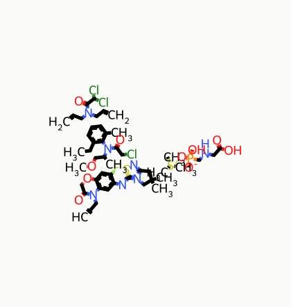 C#CCN1C(=O)COc2cc(F)c(/N=c3\snc4n3CC(C)(C)C4)cc21.C=CCN(CC=C)C(=O)C(Cl)Cl.CCc1cccc(C)c1N(C(=O)CCl)C(C)COC.C[S+](C)C.O=C(O)CNCP(=O)([O-])O